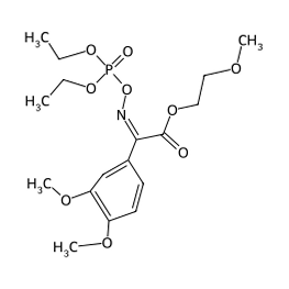 CCOP(=O)(OCC)ON=C(C(=O)OCCOC)c1ccc(OC)c(OC)c1